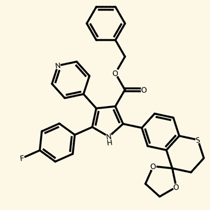 O=C(OCc1ccccc1)c1c(-c2ccc3c(c2)C2(CCS3)OCCO2)[nH]c(-c2ccc(F)cc2)c1-c1ccncc1